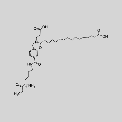 CCC(=O)[C@@H](N)CCCCNC(=O)c1ccc(CN(CCC(=O)O)C(=O)CCCCCCCCCCCCCCC(=O)O)cc1